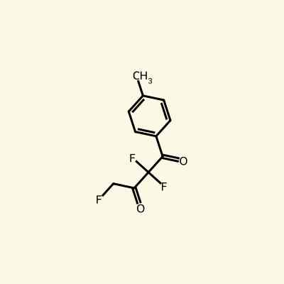 Cc1ccc(C(=O)C(F)(F)C(=O)CF)cc1